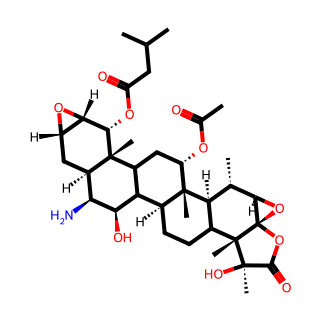 CC(=O)O[C@H]1CC2C([C@@H](O)[C@@H](N)[C@H]3C[C@@H]4O[C@@H]4[C@H](OC(=O)CC(C)C)[C@]23C)[C@@H]2CCC3[C@H]([C@H](C)[C@H]4O[C@]45OC(=O)[C@@](C)(O)[C@]35C)[C@@]12C